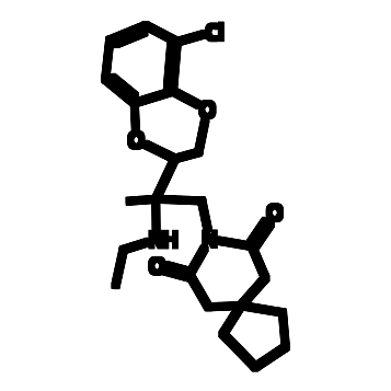 CCNC(C)(CN1C(=O)CC2(CCCC2)CC1=O)C1COc2c(Cl)cccc2O1